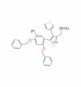 CC(=O)NCc1noc(-c2cc(C(C)C)c(OCc3ccccc3)cc2OCc2ccccc2)c1-c1ccsc1